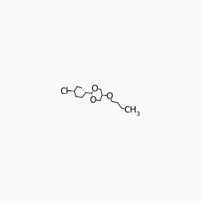 CCCCO[C@H]1CO[C@H]([C@H]2CC[C@H](Cl)CC2)OC1